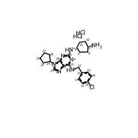 Cl.Cl.N[C@H]1CC[C@H](Nc2nc(NCc3ccc(Cl)cc3)c3ncn(C4CCCC4)c3n2)CC1